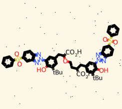 CC(C)(C)c1cc(CC(CCOC(Cc2cc(-n3nc4ccc(S(=O)(=O)c5ccccc5)cc4n3)c(O)c(C(C)(C)C)c2)C(=O)O)C(=O)O)cc(-n2nc3ccc(S(=O)(=O)c4ccccc4)cc3n2)c1O